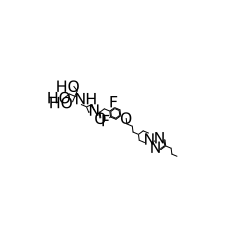 CCCc1cnc(N2CCC(CCCOc3cc(F)c(CC(=O)N4CC(CNC(CO)(CO)CO)C4)c(F)c3)CC2)nc1